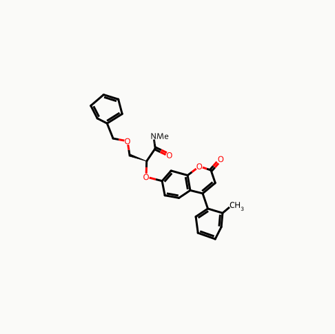 CNC(=O)[C@H](COCc1ccccc1)Oc1ccc2c(-c3ccccc3C)cc(=O)oc2c1